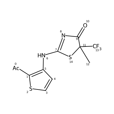 CC(=O)c1sccc1NC1=NC(=O)C(C)(C(F)(F)F)S1